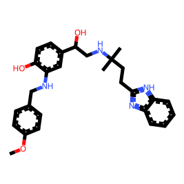 COc1ccc(CNc2cc(C(O)CNC(C)(C)CCc3nc4ccccc4[nH]3)ccc2O)cc1